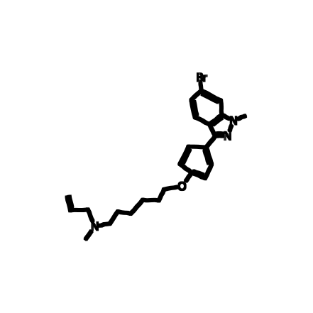 C=CCN(C)CCCCCCOc1ccc(-c2nn(C)c3cc(Br)ccc23)cc1